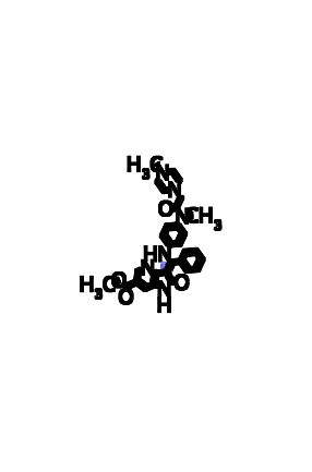 COC(=O)c1cnc2c(c1)NC(=O)/C2=C(/Nc1ccc(N(C)C(=O)CN2CCN(C)CC2)cc1)c1ccccc1